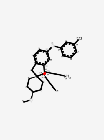 CO[C@H]1CC[C@@]2(CC1)Cc1ccc(Oc3cccc(Cl)c3)cc1C21N=C(N)N(C)O1